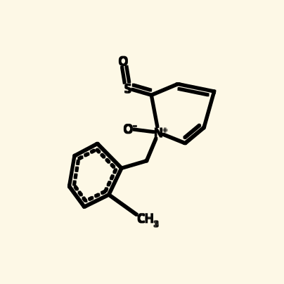 Cc1ccccc1C[N+]1([O-])C=CC=CC1=S=O